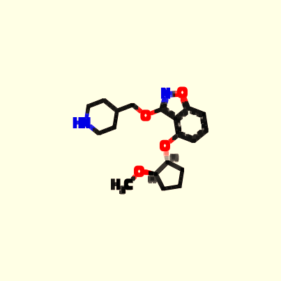 CO[C@@H]1CCC[C@H]1Oc1cccc2onc(OCC3CCNCC3)c12